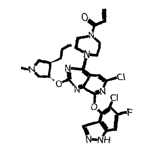 C=CC(=O)N1CCN(c2nc(O[C@@H]3CN(C)C[C@H]3CCC)nc3c(Oc4c(Cl)c(F)cc5[nH]ncc45)nc(Cl)cc23)CC1